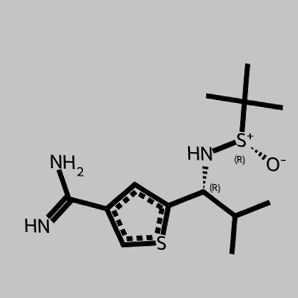 CC(C)[C@@H](N[S@@+]([O-])C(C)(C)C)c1cc(C(=N)N)cs1